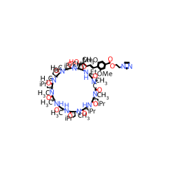 CC[C@@H]1NC(=O)[C@H]([C@H](O)[C@H](C)CC=Cc2c(OC)cc(C(=O)OCCn3ccnc3)cc2OC)N(C)C(=O)[C@H](C(C)C)N(C)C(=O)[C@H](CC(C)C)N(C)C(=O)[C@H](CC(C)C)N(C)C(=O)[C@@H](C)NC(=O)[C@H](C)NC(=O)[C@H](CC(C)C)N(C)C(=O)[C@H](C(C)C)NC(=O)[C@H](CC(C)C)N(C)C(=O)CN(C)C1=O